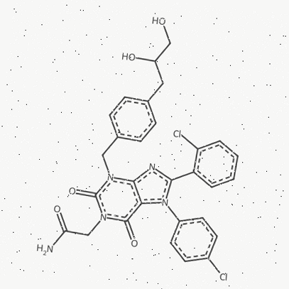 NC(=O)Cn1c(=O)c2c(nc(-c3ccccc3Cl)n2-c2ccc(Cl)cc2)n(Cc2ccc(CC(O)CO)cc2)c1=O